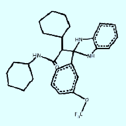 O=C(NC1CCCCC1)C(C1CCCCC1)C1(c2cccc(OC(F)(F)F)c2)Nc2ccccc2N1